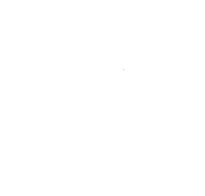 O=C(O)CC(c1ccccc1)C1CC1